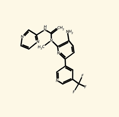 C=C(Nc1cnccn1)N(C)c1nc(-c2cncc(C(F)(F)F)c2)ccc1N